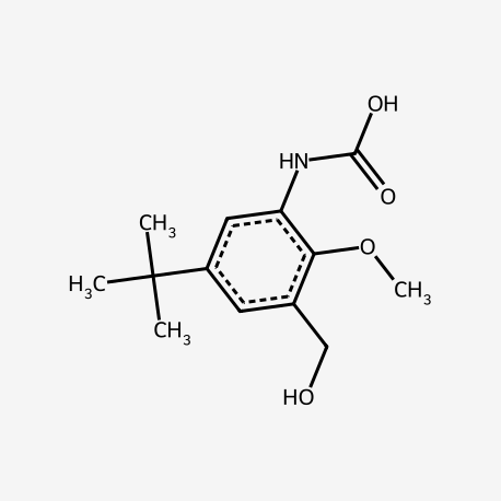 COc1c(CO)cc(C(C)(C)C)cc1NC(=O)O